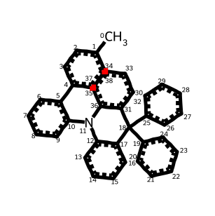 Cc1ccc(-c2ccccc2N2c3ccccc3C(c3ccccc3)(c3ccccc3)c3ccccc32)cc1